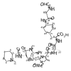 CC[C@H](C)[C@H](NC(=O)[C@H]1CCCCN1C)C(=O)N(C)[C@H](C[C@@H](OC)c1nc(C(=O)N[C@@H](C)C(=O)N[C@@H](Cc2ccc(NC(=O)CNC=O)cc2)C(=O)O)cs1)C(C)C